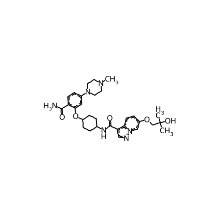 CN1CCN(c2ccc(C(N)=O)c(OC3CCC(NC(=O)c4cnn5cc(OCC(C)(C)O)ccc45)CC3)c2)CC1